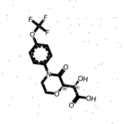 O=C(O)[C@H](O)[C@H]1OCCN(c2ccc(OC(F)(F)F)cc2)C1=O